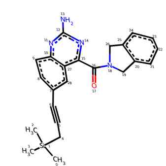 C[Si](C)(C)CC#Cc1ccc2nc(N)nc(C(=O)N3Cc4ccccc4C3)c2c1